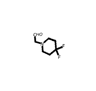 O=CCN1CCC(F)(F)CC1